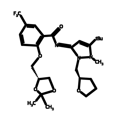 Cn1c(C(C)(C)C)c/c(=N\C(=O)c2cc(C(F)(F)F)ccc2OC[C@@H]2COC(C)(C)O2)n1C[C@H]1CCCO1